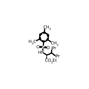 CCOC(=O)[C@@H](NS(=O)(=O)c1c(C)cc(C)cc1C)C(C(C)C)C(C)C